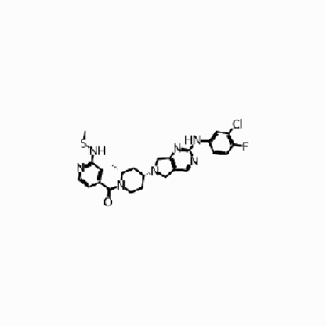 CSNc1cc(C(=O)N2CC[C@@H](N3Cc4cnc(Nc5ccc(F)c(Cl)c5)nc4C3)C[C@H]2C)ccn1